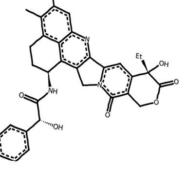 CC[C@@]1(O)C(=O)OCc2c1cc1n(c2=O)Cc2c-1nc1cc(C)c(C)c3c1c2[C@@H](NC(=O)[C@H](O)c1ccccc1)CC3